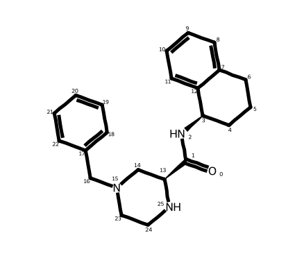 O=C(N[C@@H]1CCCc2ccccc21)[C@@H]1CN(Cc2ccccc2)CCN1